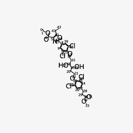 CCOC(=O)c1nc(-c2cc(Cl)c(OCC[C@@H](O)[C@H](O)CCOc3c(Cl)cc(CCC(=O)OC)cc3Cl)c(Cl)c2)oc1CC